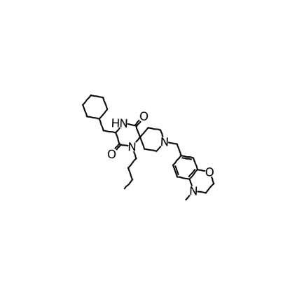 CCCCN1C(=O)C(CC2CCCCC2)NC(=O)C12CCN(Cc1ccc3c(c1)OCCN3C)CC2